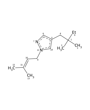 CCC(C)(C)Cc1cnn(CC=C(C)C)c1